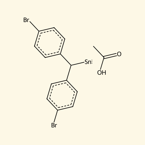 Brc1ccc([CH]([Sn])c2ccc(Br)cc2)cc1.CC(=O)O